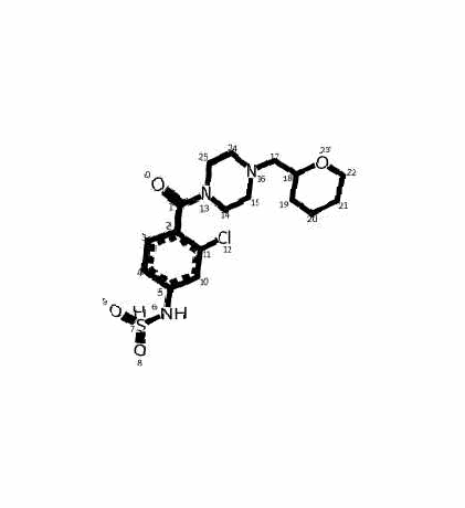 O=C(c1ccc(N[SH](=O)=O)cc1Cl)N1CCN(CC2CCCCO2)CC1